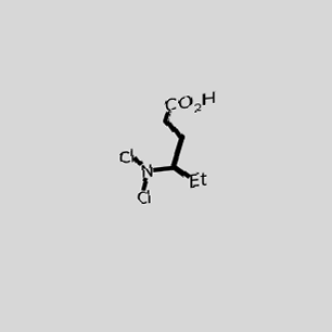 CCC(CCC(=O)O)N(Cl)Cl